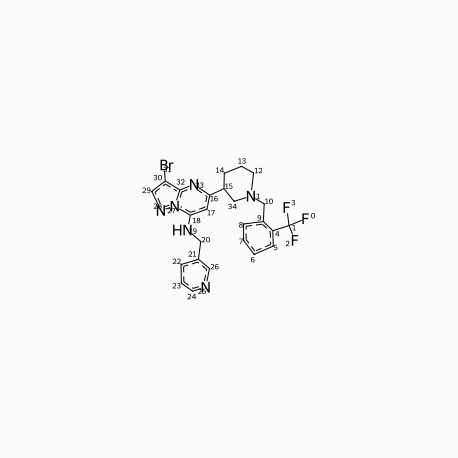 FC(F)(F)c1ccccc1CN1CCCC(c2cc(NCc3cccnc3)n3ncc(Br)c3n2)C1